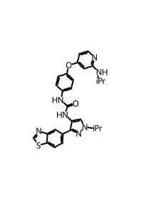 CC(C)Nc1cc(Oc2ccc(NC(=O)Nc3cn(C(C)C)nc3-c3ccc4scnc4c3)cc2)ccn1